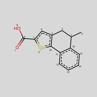 CC1Cc2cc(C(=O)O)sc2-c2ccccc21